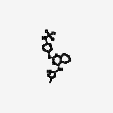 CCS(=O)(=O)Nc1ccc(Sc2nc(Nc3cc(C)n[nH]3)c3ccccc3n2)cc1